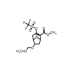 COCOC1CC2NC1CC(OS(=O)(=O)C(F)(F)F)=C2C(=O)OC